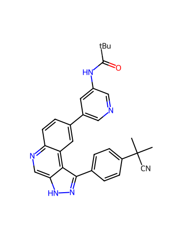 CC(C)(C)C(=O)Nc1cncc(-c2ccc3ncc4[nH]nc(-c5ccc(C(C)(C)C#N)cc5)c4c3c2)c1